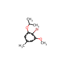 COc1cc(C)cc(OC(C)C)c1Br